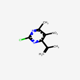 C=C(C)c1nc(Cl)nc(C)c1[N+](=O)[O-]